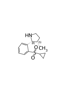 C[C@H]1CCN[C@H]1c1ccccc1S(=O)(=O)C1CC1